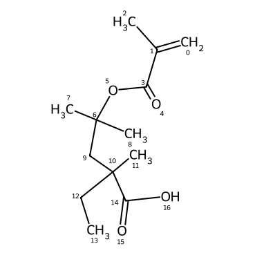 C=C(C)C(=O)OC(C)(C)CC(C)(CC)C(=O)O